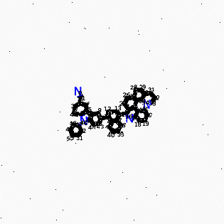 N#Cc1ccc2c(c1)c1cc(-c3ccc(-c4nc5ccccc5c5c4ccc4ccc6cccnc6c45)c4ccccc34)ccc1n2-c1ccccc1